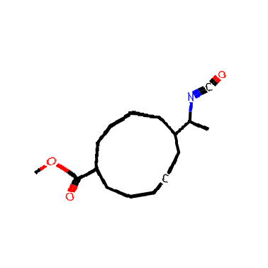 COC(=O)C1CCCCCC(C(C)N=C=O)CCCC1